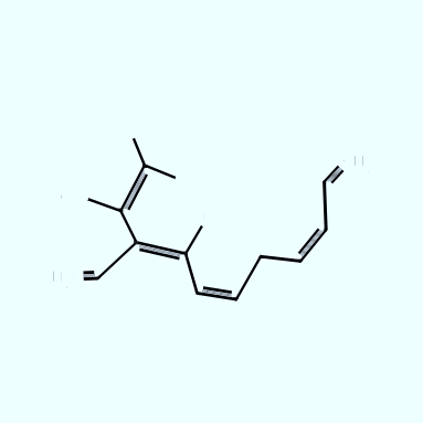 C=C/C=C\C/C=C\C(C)=C(/C=C)C(C=O)=C(C)C